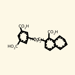 O=C(O)c1cc(C(=O)O)cc(C(=O)O)c1.O=C(O)c1ccc2ccccc2c1C(=O)O